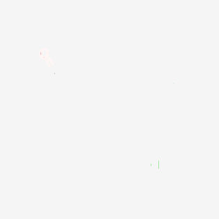 O=C1CCC2(c3cc(Cl)cc(Cl)c3)CC2C1